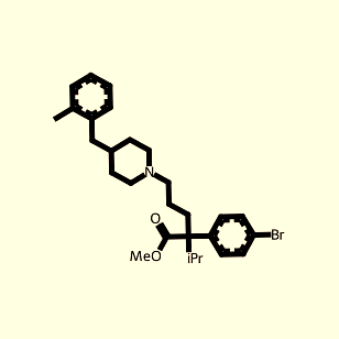 COC(=O)C(CCCN1CCC(Cc2ccccc2C)CC1)(c1ccc(Br)cc1)C(C)C